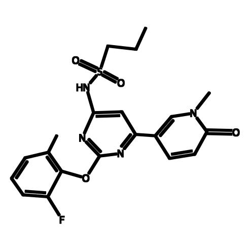 CCCS(=O)(=O)Nc1cc(-c2ccc(=O)n(C)c2)nc(Oc2c(C)cccc2F)n1